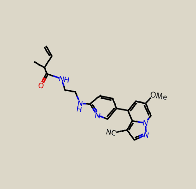 C=CC(C)C(=O)NCCNc1ccc(-c2cc(OC)cn3ncc(C#N)c23)cn1